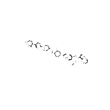 CC(C)Oc1cc2nc([C@H]3CC[C@H](C(=O)NC4CCN(c5ccc(C6CCC(=O)NC6=O)cn5)CC4)CC3)cn2cc1C(=O)Nc1cnn2cccnc12